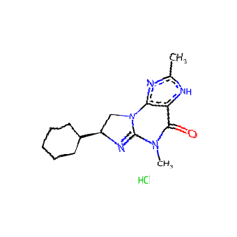 Cc1nc2c([nH]1)C(=O)N(C)C1=N[C@@H](C3CCCCC3)CN12.Cl